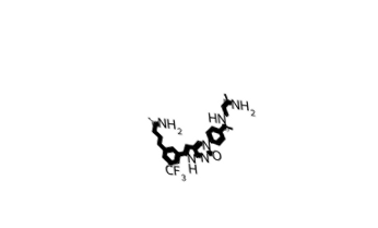 C[C@H](N)CCCc1cc(-c2cc3cn(-c4ccc([C@H](C)NCC[C@@H](C)N)cc4)c(=O)nc3[nH]2)cc(C(F)(F)F)c1